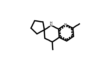 Cc1ccc2c(n1)NC1(CCCC1)CC2C